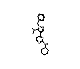 CN(C)c1c(-c2ccnc(NC3CCCCC3)n2)cnn1Cc1ccccc1